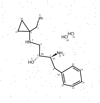 CC(C)CC1(NC[C@@H](O)[C@@H](N)Cc2ccccc2)CC1.Cl.Cl